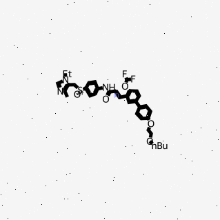 CCCCOCCOc1ccc(-c2ccc(OC(F)F)c(/C=C/C(=O)Nc3ccc([S@@+]([O-])Cc4c(C)ncn4CC)cc3)c2)cc1